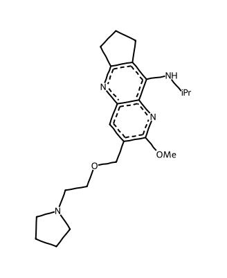 COc1nc2c(NC(C)C)c3c(nc2cc1COCCN1CCCC1)CCC3